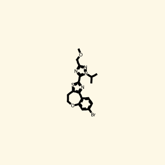 COCc1nc(-c2nc3c(s2)CCOc2cc(Br)ccc2-3)n(C(C)C)n1